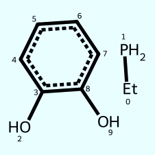 CCP.Oc1ccccc1O